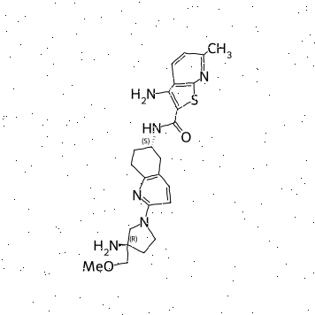 COC[C@@]1(N)CCN(c2ccc3c(n2)CC[C@H](NC(=O)c2sc4nc(C)ccc4c2N)C3)C1